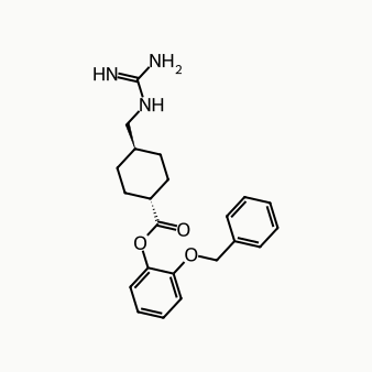 N=C(N)NC[C@H]1CC[C@H](C(=O)Oc2ccccc2OCc2ccccc2)CC1